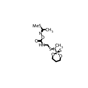 CSC(C)=NOC(=O)NCSN(C)P1(=S)OCCCO1